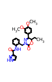 CCC1OC(=O)N(Cc2ccccc2NC(=O)c2cc[nH]n2)N=C1c1ccc(OC)c(OC)c1